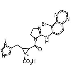 Cn1cncc1CC1C(C(=O)N2CCN=C2Nc2ccc3nccnc3c2Br)[C@H]1C(=O)O